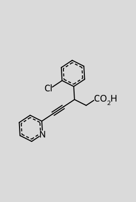 O=C(O)CC(C#Cc1ccccn1)c1ccccc1Cl